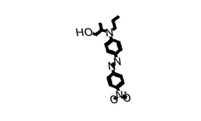 CCCN(c1ccc(N=Nc2ccc([N+](=O)[O-])cc2)cc1)C(C)CO